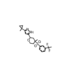 CC(F)(F)c1cccc(S(=O)(=O)C2(C)CCOC(c3cc(C4(C)CC4)n[nH]3)C2)c1